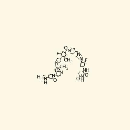 CNc1ccn(-c2ccnc3c2cc(CN2CCC(c4c(C)cc(C(=O)N5CCC(CN6CCN(c7ccc(N[C@H]8CCC(=O)NC8=O)cc7F)CC6)CC5)cc4F)CC2)n3C)c(=O)c1